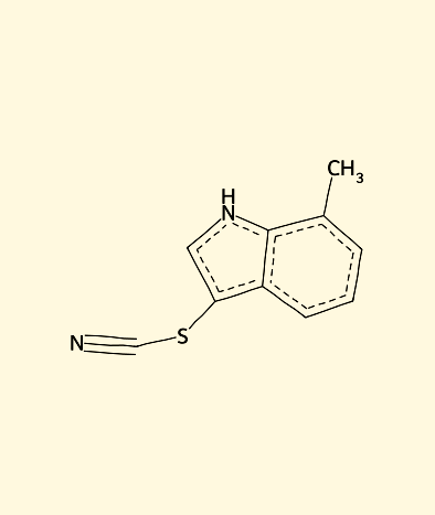 Cc1cccc2c(SC#N)c[nH]c12